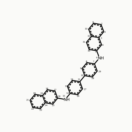 c1ccc2cc(Nc3ccc(-c4ccc(Nc5ccc6ccccc6c5)cc4)cc3)ccc2c1